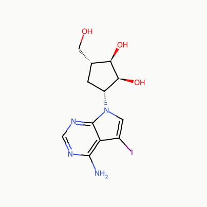 Nc1ncnc2c1c(I)cn2[C@@H]1C[C@H](CO)[C@@H](O)[C@H]1O